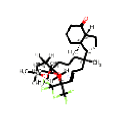 [2H]C([2H])([2H])C(CCC[C@@](C)(C/C=C/C(O[Si](C)(C)C)(C(F)(F)F)C(F)(F)F)[C@H]1CC[C@H]2C(=O)CCC[C@]12C)(O[Si](C)(C)C)C([2H])([2H])[2H]